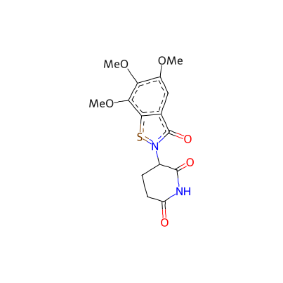 COc1cc2c(=O)n(C3CCC(=O)NC3=O)sc2c(OC)c1OC